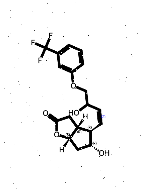 O=C1C[C@@H]2[C@@H](/C=C\C(O)COc3cccc(C(F)(F)F)c3)[C@H](O)C[C@@H]2O1